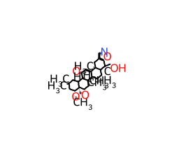 COC(=O)[C@]12CCC(C)(C)C[C@H]1[C@H]1C(=O)C=C3[C@@]4(C)Cc5cnoc5[C@@](C)(CO)C4CC[C@@]3(C)[C@]1(C)CC2